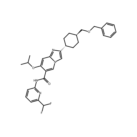 CC(C)Oc1cc2nc([C@H]3CC[C@H](COCc4ccccc4)CC3)cn2cc1C(=O)Nc1cccc(C(F)F)n1